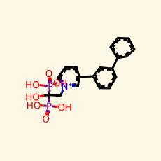 O=P(O)(O)C(O)(C[n+]1cccc(-c2cccc(-c3ccccc3)c2)c1)P(=O)(O)O